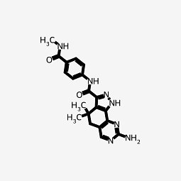 CNC(=O)c1ccc(NC(=O)c2n[nH]c3c2C(C)(C)Cc2cnc(N)nc2-3)cc1